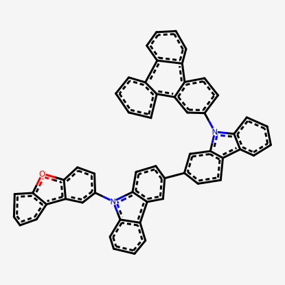 c1ccc2c(c1)oc1ccc(-n3c4ccccc4c4cc(-c5ccc6c7ccccc7n(-c7ccc8c9ccccc9c9ccccc9c8c7)c6c5)ccc43)cc12